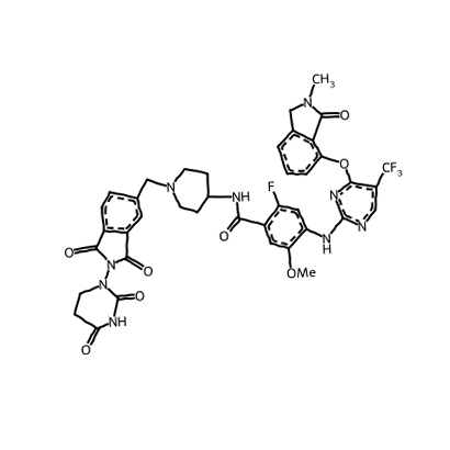 COc1cc(C(=O)NC2CCN(Cc3ccc4c(c3)C(=O)N(N3CCC(=O)NC3=O)C4=O)CC2)c(F)cc1Nc1ncc(C(F)(F)F)c(Oc2cccc3c2C(=O)N(C)C3)n1